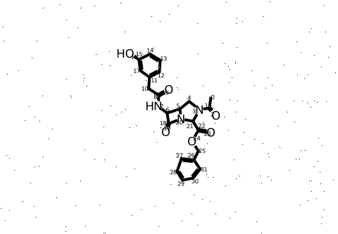 CC(=O)N1CC2C(NC(=O)Cc3cccc(O)c3)C(=O)N2C1C(=O)OCc1ccccc1